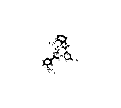 C=C1C[C@@H](c2nc3cccc(C)c3[nH]2)N(N2[C]=C(c3cccc(C)c3)SC2C)C1